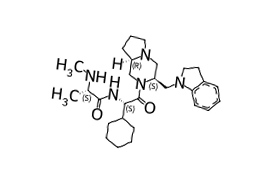 CN[C@@H](C)C(=O)N[C@H](C(=O)N1C[C@H]2CCCN2C[C@H]1CN1CCc2ccccc21)C1CCCCC1